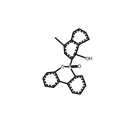 Cc1cc(P2(=O)Oc3ccccc3-c3ccccc32)c(O)c2ccccc12